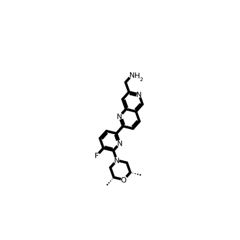 C[C@@H]1CN(c2nc(-c3ccc4cnc(CN)cc4n3)ccc2F)C[C@H](C)O1